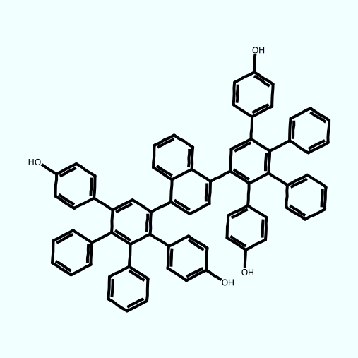 Oc1ccc(-c2cc(-c3ccc(-c4cc(-c5ccc(O)cc5)c(-c5ccccc5)c(-c5ccccc5)c4-c4ccc(O)cc4)c4ccccc34)c(-c3ccc(O)cc3)c(-c3ccccc3)c2-c2ccccc2)cc1